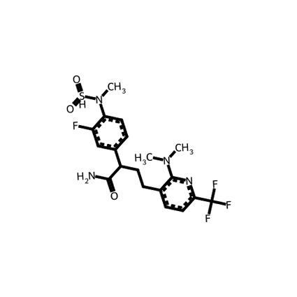 CN(C)c1nc(C(F)(F)F)ccc1CCC(C(N)=O)c1ccc(N(C)[SH](=O)=O)c(F)c1